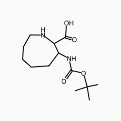 CC(C)(C)OC(=O)NC1CCCCCNC1C(=O)O